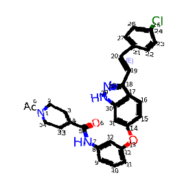 CC(=O)N1CCC(C(=O)Nc2cccc(Oc3ccc4c(/C=C/c5ccc(Cl)cc5)n[nH]c4c3)c2)CC1